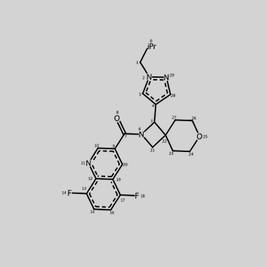 CC(C)Cn1cc(C2N(C(=O)c3cnc4c(F)ccc(F)c4c3)CC23CCOCC3)cn1